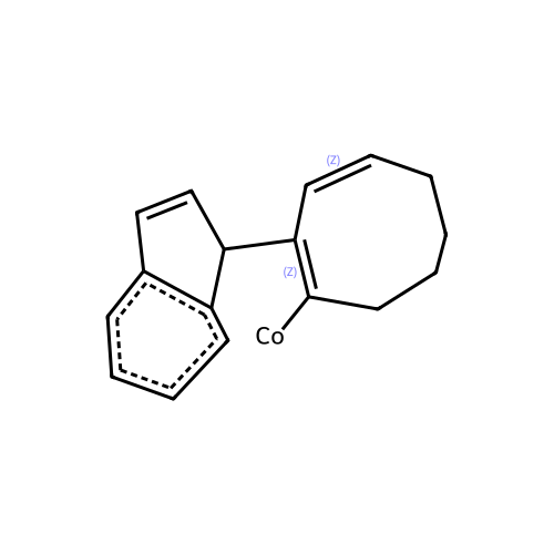 [Co]/[C]1=C(C2C=Cc3ccccc32)/C=C\CCCC1